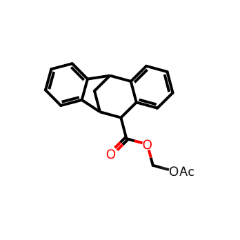 CC(=O)OCOC(=O)C1c2ccccc2C2CC1c1ccccc12